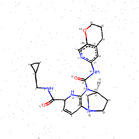 O=C(NCC1CC1)C1C=CC2=C(N1)N(C(=O)Nc1cc3c(cn1)OCCC3)[C@H]1CCN2C1